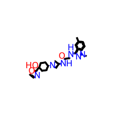 Cc1ccc2c(c1)c(NCC(=O)NC1CN([C@H]3CC[C@@](O)(c4ncco4)CC3)C1)nn2C